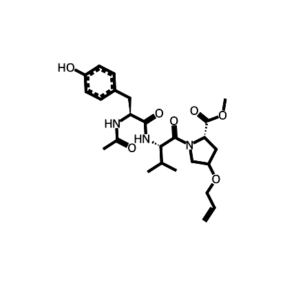 C=CCOC1C[C@@H](C(=O)OC)N(C(=O)[C@@H](NC(=O)[C@H](Cc2ccc(O)cc2)NC(C)=O)C(C)C)C1